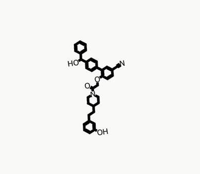 N#Cc1ccc(OCC(=O)N2CCC(CCc3cccc(O)c3)CC2)c(-c2ccc(C(O)c3ccccc3)cc2)c1